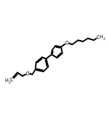 C=CCOCc1ccc(-c2ccc(OCCCCCC)cc2)cc1